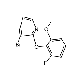 COc1cccc(F)c1Oc1ncccc1Br